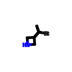 CCC(C)C1CNC1